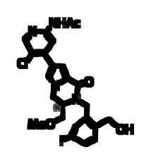 COC[C@H]1Cn2cc(-c3cc(NC(C)=O)ncc3Cl)cc2C(=O)N1Cc1cc(F)ccc1CO